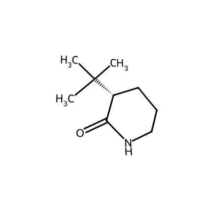 CC(C)(C)[C@@H]1CCCNC1=O